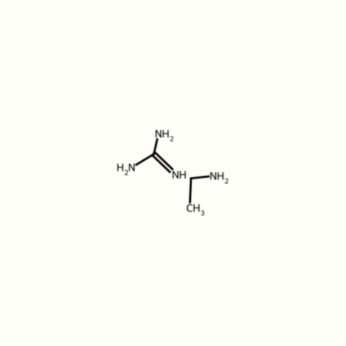 CCN.N=C(N)N